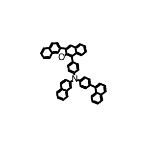 c1ccc2cc(N(c3ccc(-c4cccc5ccccc45)cc3)c3ccc(-c4c5ccccc5cc5c4oc4c6ccccc6ccc54)cc3)ccc2c1